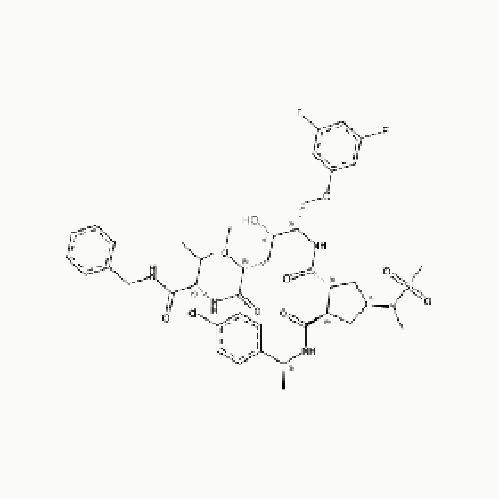 CO[C@H](C[C@H](O)[C@H](COc1cc(F)cc(F)c1)NC(=O)[C@@H]1C[C@@H](N(C)S(C)(=O)=O)C[C@H]1C(=O)N[C@@H](C)c1ccc(Cl)cc1)C(=O)N[C@H](C(=O)NCc1ccccc1)C(C)C